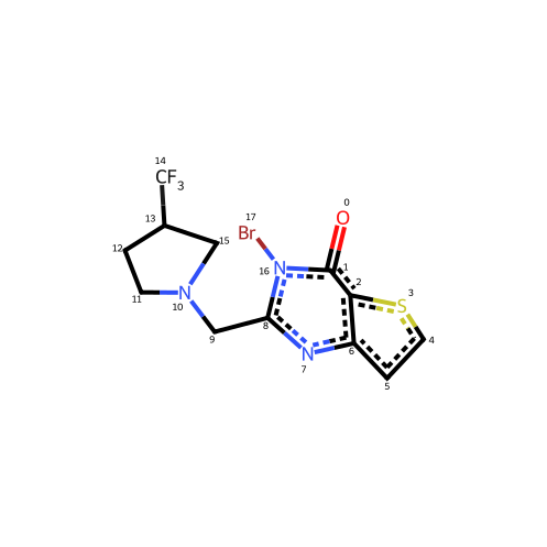 O=c1c2sccc2nc(CN2CCC(C(F)(F)F)C2)n1Br